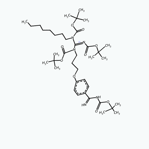 CCCCCCCCN(C(=O)OC(C)(C)C)/C(=N/C(=O)OC(C)(C)C)N(CCCOc1ccc(C(=N)NC(=O)OC(C)(C)C)cc1)C(=O)OC(C)(C)C